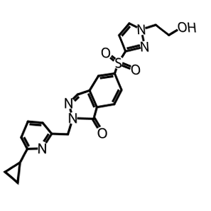 O=c1c2ccc(S(=O)(=O)c3ccn(CCO)n3)cc2cnn1Cc1cccc(C2CC2)n1